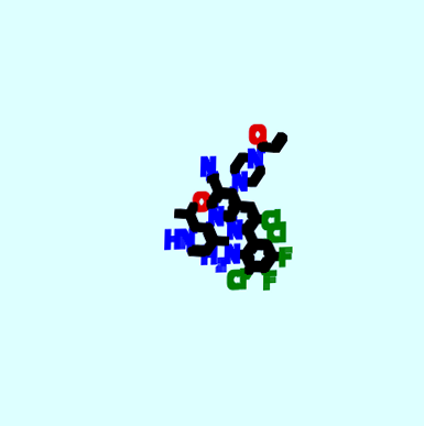 C=CC(=O)N1CCN(c2c(C#N)c(=O)n(C3=C(C)C=CNC3C(C)C)c3nc(-c4c(N)c(Cl)c(F)c(F)c4Cl)c(Cl)cc23)CC1